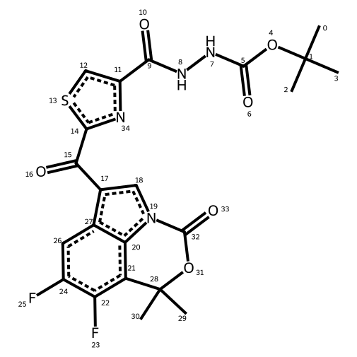 CC(C)(C)OC(=O)NNC(=O)c1csc(C(=O)c2cn3c4c(c(F)c(F)cc24)C(C)(C)OC3=O)n1